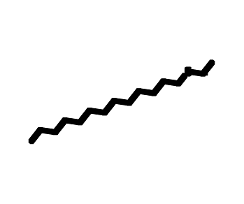 C[CH]SCCCCCCCCCCCCC